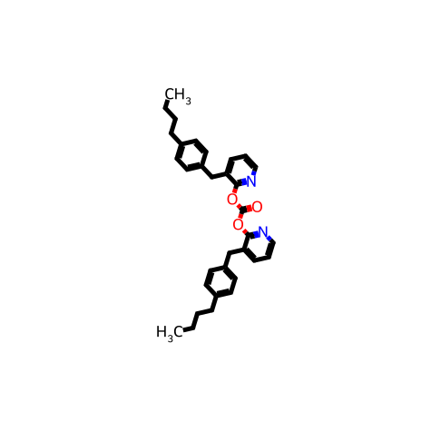 CCCCc1ccc(Cc2cccnc2OC(=O)Oc2ncccc2Cc2ccc(CCCC)cc2)cc1